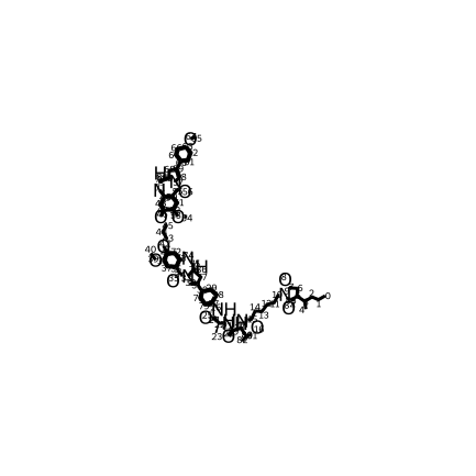 CCCC(C)C1CC(=O)N(CCCCCC(=O)N[C@H](C(=O)N[C@@H](C)C(=O)Nc2ccc(C3=CN4C(=O)c5cc(OC)c(OCCCOc6cc7c(cc6OC)C(=O)N6C=C(c8ccc(OC)cc8)C[C@H]6C=N7)cc5N=C[C@@H]4C3)cc2)C(C)C)C1=O